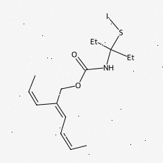 C\C=C/C=C(\C=C/C)COC(=O)NC(CC)(CC)SI